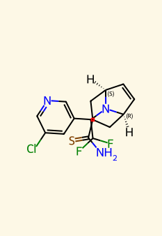 NC(=S)C1(c2cncc(Cl)c2)C[C@H]2C=C[C@@H](C1)N2CC(F)F